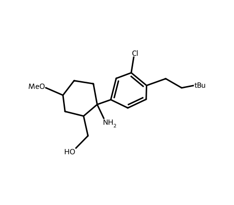 COC1CCC(N)(c2ccc(CCC(C)(C)C)c(Cl)c2)C(CO)C1